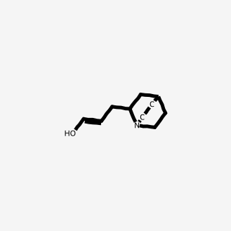 OC=CCC1CC2CCN1CC2